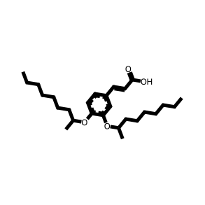 CCCCCCCC(C)Oc1ccc(C=CC(=O)O)cc1OC(C)CCCCCCC